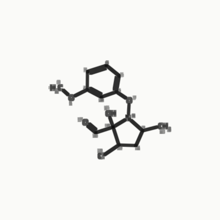 [CH2]Oc1cccc(ON2C(C)CC(Cl)C2(O)C=O)c1